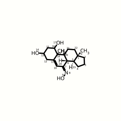 C[C@@]12CCC[C@H]1[C@@H]1C(=NO)C=C3CC(O)CC(O)[C@]3(C)[C@@H]1CC2